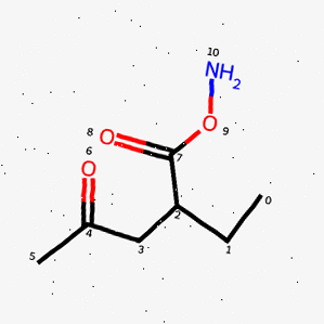 CCC(CC(C)=O)C(=O)ON